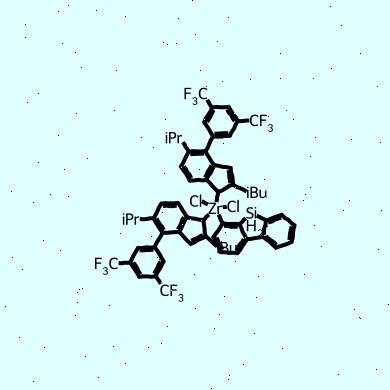 CCC(C)C1=Cc2c(ccc(C(C)C)c2-c2cc(C(F)(F)F)cc(C(F)(F)F)c2)[CH]1[Zr]([Cl])([Cl])([c]1cccc2c1[SiH2]c1ccccc1-2)[CH]1C(C(C)CC)=Cc2c1ccc(C(C)C)c2-c1cc(C(F)(F)F)cc(C(F)(F)F)c1